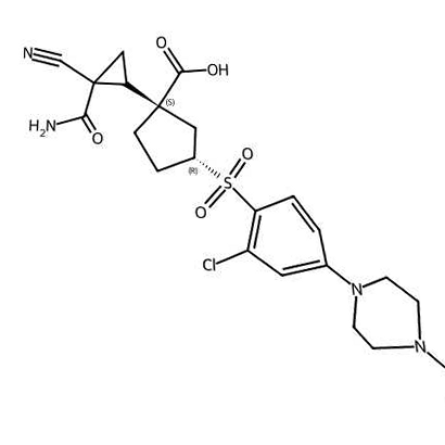 CCN1CCN(c2ccc(S(=O)(=O)[C@@H]3CC[C@@](C(=O)O)(C4CC4(C#N)C(N)=O)C3)c(Cl)c2)CC1